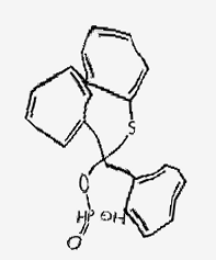 O=[PH](O)OC(Sc1ccccc1)(c1ccccc1)c1ccccc1